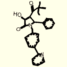 CC(C)(C)C(=O)C1=C(O)C(=O)N(c2ccc(-c3ccccn3)cc2)C1c1ccccc1